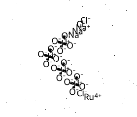 [Cl-].[Cl-].[Cl-].[Na+].[Na+].[Na+].[O-][I+3]([O-])([O-])[O-].[O-][I+3]([O-])([O-])[O-].[O-][I+3]([O-])([O-])[O-].[O-][I+3]([O-])([O-])[O-].[Ru+4]